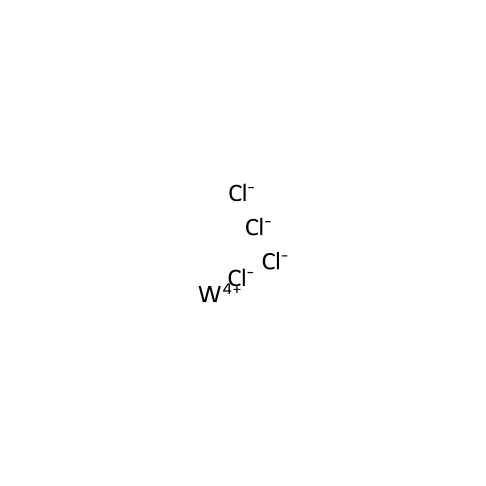 [Cl-].[Cl-].[Cl-].[Cl-].[W+4]